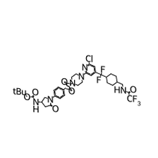 CC(C)(C)OC(=O)N[C@@H]1CC(=O)N(c2ccc(S(=O)(=O)N3CCN(c4cc(C(F)(F)C5CCC(CNC(=O)C(F)(F)F)CC5)cc(Cl)n4)CC3)cc2)C1